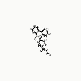 CCCN(C)c1ncc(Oc2ncccc2-c2cccnc2CC)cn1